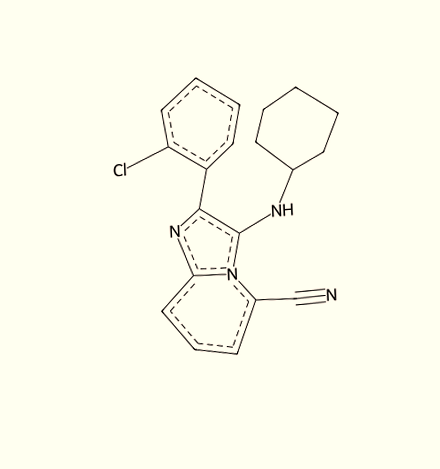 N#Cc1cccc2nc(-c3ccccc3Cl)c(NC3CCCCC3)n12